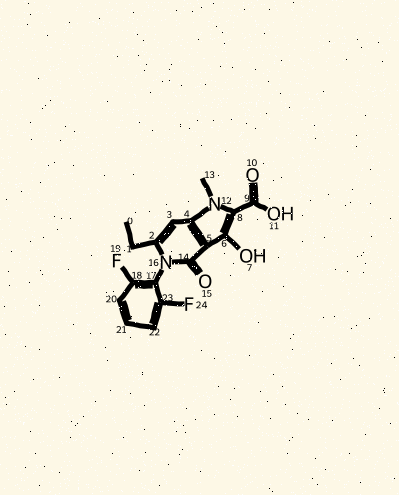 CCc1cc2c(c(O)c(C(=O)O)n2C)c(=O)n1-c1c(F)cccc1F